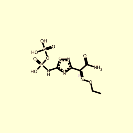 CCO/N=C(\C(N)=O)c1nsc(NP(=O)(O)OP(=O)(O)O)n1